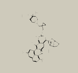 C#Cc1c(F)ccc2cc(O)cc(-c3c(F)cc4c(N5CC6CCC(C5)N6)nc(OCC5(CN6CC7CCC6CC7(C)O)CC5)nc4c3F)c12